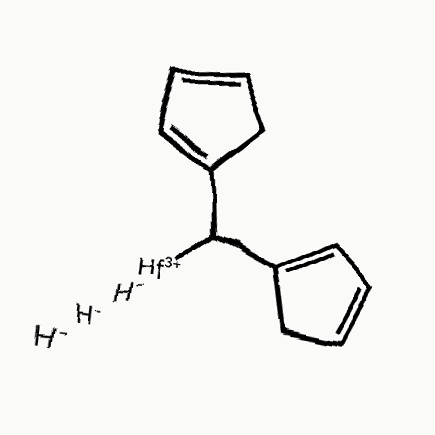 [H-].[H-].[H-].[Hf+3][CH](C1=CC=CC1)C1=CC=CC1